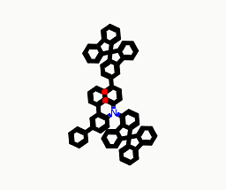 c1ccc(-c2ccc(N(c3ccc(-c4ccc5c(c4)-c4ccccc4C54c5ccccc5-c5ccccc54)cc3)c3cccc4c3-c3ccccc3C43c4ccccc4-c4ccccc43)c(-c3ccccc3)c2)cc1